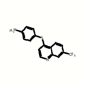 Nc1ccc(Sc2ccnc3cc(C(F)(F)F)ccc23)cc1